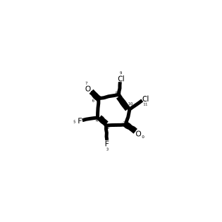 O=C1C(F)=C(F)C(=O)C(Cl)=C1Cl